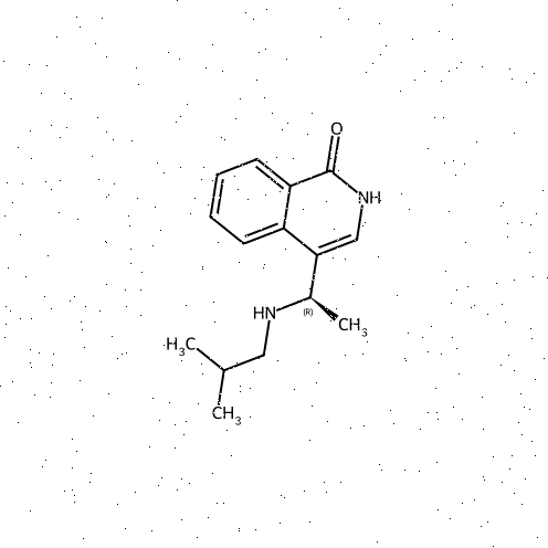 CC(C)CN[C@H](C)c1c[nH]c(=O)c2ccccc12